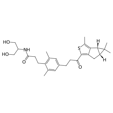 Cc1cc(CCC(=O)c2sc(C)c3c2C[C@@H]2[C@H]3C2(C)C)cc(C)c1CCC(=O)NC(CO)CO